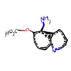 Nc1c(OC(=O)O)ccc2ncccc12